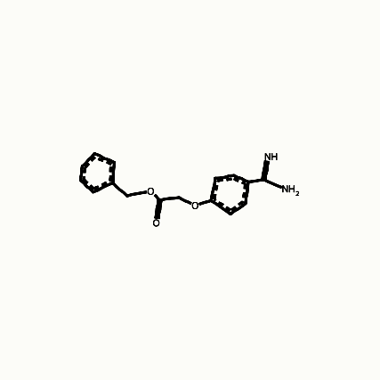 N=C(N)c1ccc(OCC(=O)OCc2ccccc2)cc1